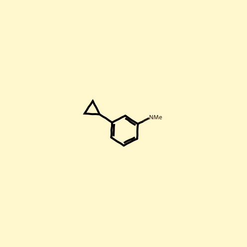 CNc1cccc(C2CC2)c1